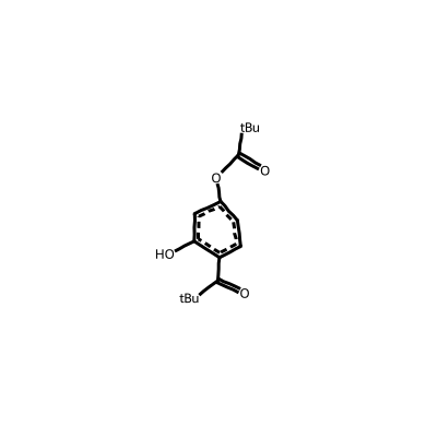 CC(C)(C)C(=O)Oc1ccc(C(=O)C(C)(C)C)c(O)c1